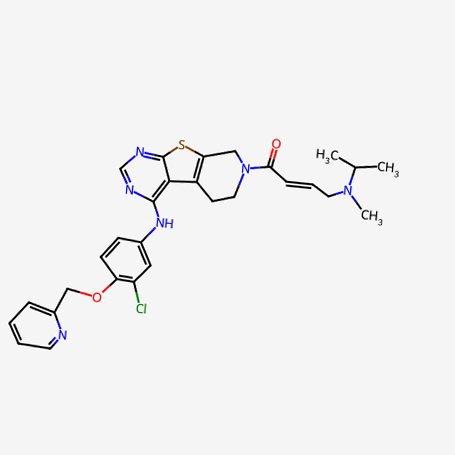 CC(C)N(C)CC=CC(=O)N1CCc2c(sc3ncnc(Nc4ccc(OCc5ccccn5)c(Cl)c4)c23)C1